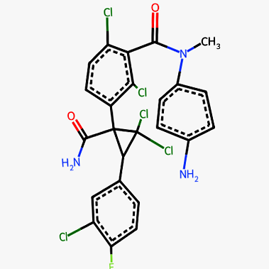 CN(C(=O)c1c(Cl)ccc(C2(C(N)=O)C(c3ccc(F)c(Cl)c3)C2(Cl)Cl)c1Cl)c1ccc(N)cc1